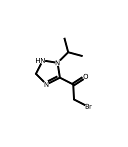 CC(C)N1NCN=C1C(=O)CBr